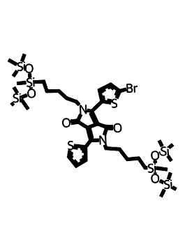 C[Si](C)(C)O[Si](C)(CCCCCN1C(=O)C2=C(c3ccc(Br)s3)N(CCCCC[Si](C)(O[Si](C)(C)C)O[Si](C)(C)C)C(=O)C2=C1c1cccs1)O[Si](C)(C)C